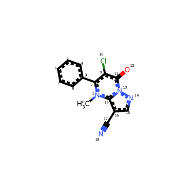 Cn1c(-c2ccccc2)c(Cl)c(=O)n2ncc(C#N)c12